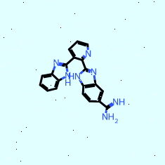 N=C(N)c1ccc2[nH]c(-c3ncccc3-c3nc4ccccc4[nH]3)nc2c1